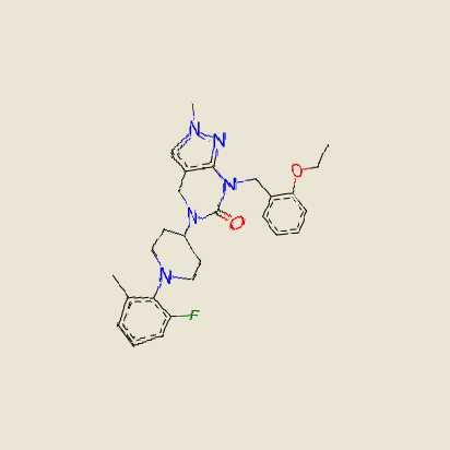 CCOc1ccccc1CN1C(=O)N(C2CCN(c3c(C)cccc3F)CC2)Cc2cn(C)nc21